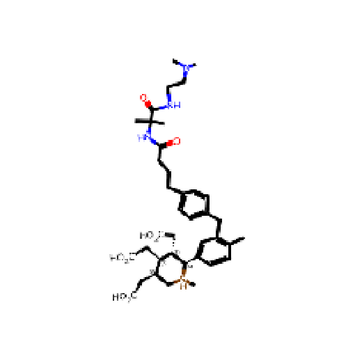 Cc1ccc([C@@H]2[C@@H](CC(=O)O)[C@H](CC(=O)O)[C@H](CC(=O)O)C[SH]2C)cc1Cc1ccc(CCCC(=O)NC(C)(C)C(=O)NCCN(C)C)cc1